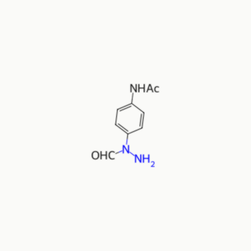 CC(=O)Nc1ccc(N(N)C=O)cc1